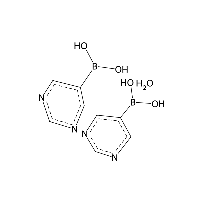 O.OB(O)c1cncnc1.OB(O)c1cncnc1